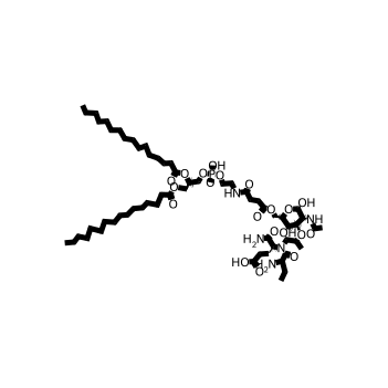 CCCCCCCCCCCCCCCC(=O)OC[C@H](COP(=O)(O)OCCNC(=O)CCC(=O)OC[C@H]1O[C@H](O)[C@H](NC(C)=O)[C@@H](OC(C)CN(C(=O)C(N)CC)[C@H](CCC(=O)O)C(N)=O)[C@@H]1O)OC(=O)CCCCCCCCCCCCCCC